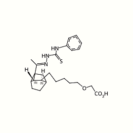 CC(=NNC(=S)Nc1ccccc1)[C@H]1C2CCC(CC2)[C@@H]1CCCCCOCC(=O)O